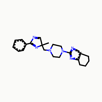 CC1(CN2CCN(c3ncc4c(n3)CCCC4)CC2)C=NC(c2ccccc2)=N1